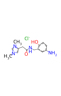 Cn1c[n+](C)cc1CC(=O)NCc1cc(N)ccc1O.[Cl-]